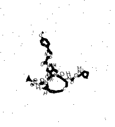 COc1ccc(-c2csc(C(=O)N3C[C@H]4CN5C(=O)[C@@H](NC(=O)OCC6(N)CCCC6)CCCCC/C=C\[C@H]6C[C@@]6(C(=O)NS(=O)(=O)C6CC6)NC(=O)[C@@H]5[C@H]4C3)n2)cc1